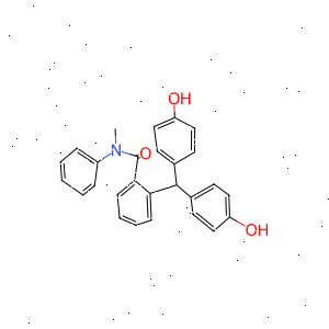 CN(C(=O)c1ccccc1C(c1ccc(O)cc1)c1ccc(O)cc1)c1ccccc1